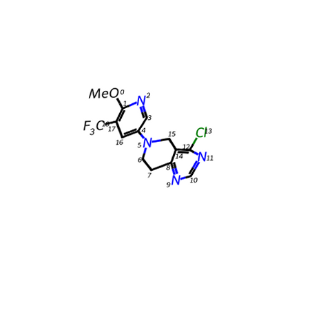 COc1ncc(N2CCc3ncnc(Cl)c3C2)cc1C(F)(F)F